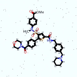 COC(=O)c1ccc(N(C)S(=O)(=O)c2cc(C(=O)NCc3ccc(CN4CCCCC4)cc3)sc2-c2ccc(C(=O)N3CCOCC3)cc2)cc1